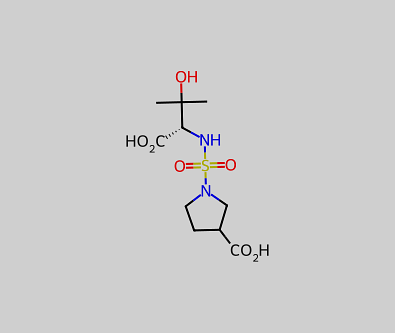 CC(C)(O)[C@H](NS(=O)(=O)N1CCC(C(=O)O)C1)C(=O)O